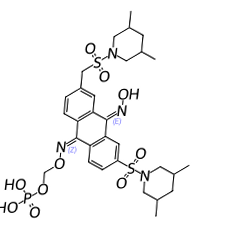 CC1CC(C)CN(S(=O)(=O)Cc2ccc3c(c2)/C(=N\O)c2cc(S(=O)(=O)N4CC(C)CC(C)C4)ccc2/C3=N\OCOP(=O)(O)O)C1